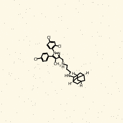 Cc1c(CNCCCNC2[C@H]3C[C@@H]4C[C@@H](C[C@H]2C4)C3)nn(-c2ccc(Cl)cc2Cl)c1-c1ccc(Cl)cc1